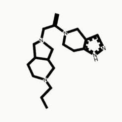 C=C(CN1CC2CCN(CCC)CC2C1)N1CCc2[nH]ncc2C1